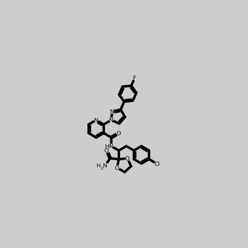 NC(=O)C1(C(Cc2ccc(Cl)cc2)NC(=O)c2cccnc2-n2ccc(-c3ccc(F)cc3)n2)OCCO1